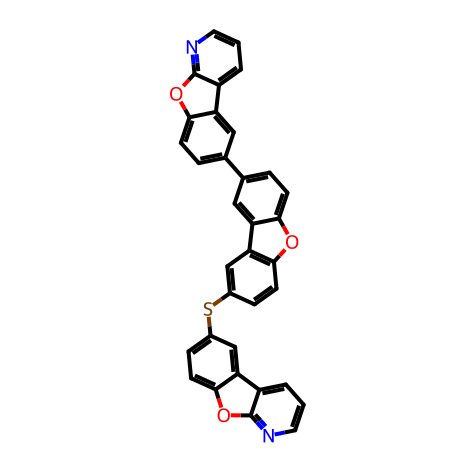 c1cnc2oc3ccc(Sc4ccc5oc6ccc(-c7ccc8oc9ncccc9c8c7)cc6c5c4)cc3c2c1